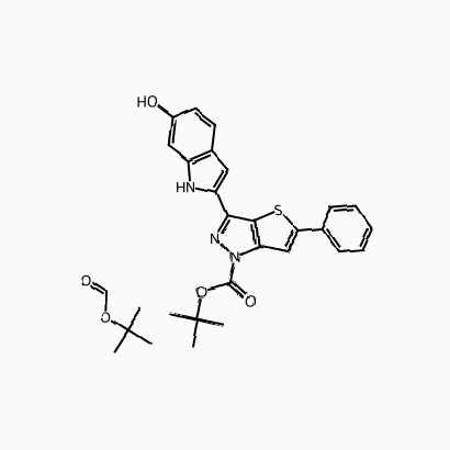 CC(C)(C)OC(=O)n1nc(-c2cc3ccc(O)cc3[nH]2)c2sc(-c3ccccc3)cc21.CC(C)(C)OC=O